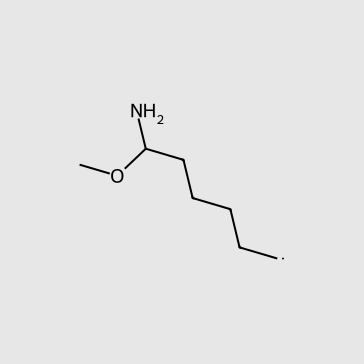 [CH2]CCCCC(N)OC